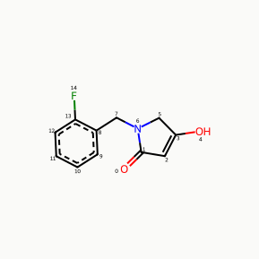 O=C1C=C(O)CN1Cc1ccccc1F